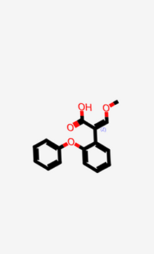 CO/C=C(\C(=O)O)c1ccccc1Oc1ccccc1